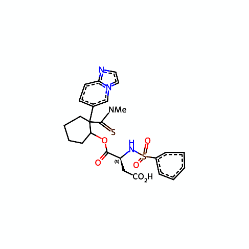 CNC(=S)C1(c2ccc3nccn3c2)CCCCC1OC(=O)[C@H](CC(=O)O)NS(=O)(=O)c1ccccc1